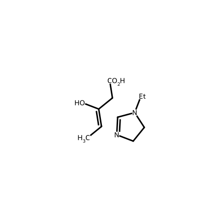 CC=C(O)CC(=O)O.CCN1C=NCC1